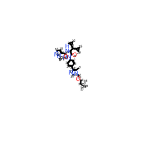 Cc1c(-c2ccc(NC(=O)C(NC(=O)c3ccnn3C(C)C)C(C3CC3)C3CC3)cc2)ncn1COCC[Si](C)(C)C